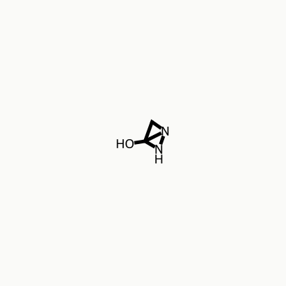 OC12CN1N2